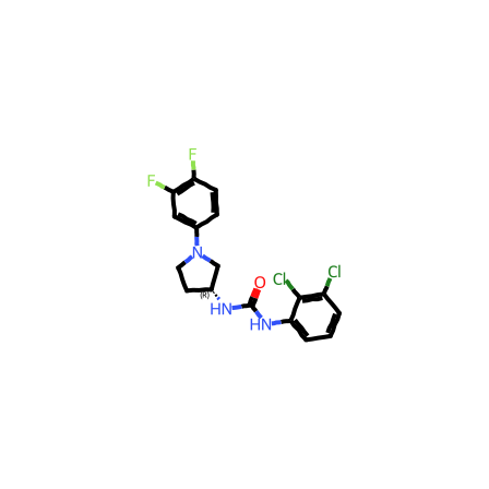 O=C(Nc1cccc(Cl)c1Cl)N[C@@H]1CCN(c2ccc(F)c(F)c2)C1